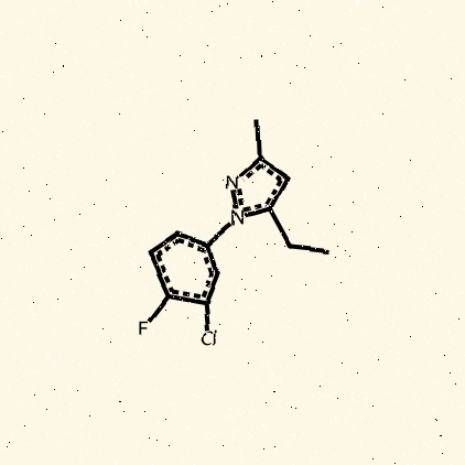 CCc1cc(C)nn1-c1ccc(F)c(Cl)c1